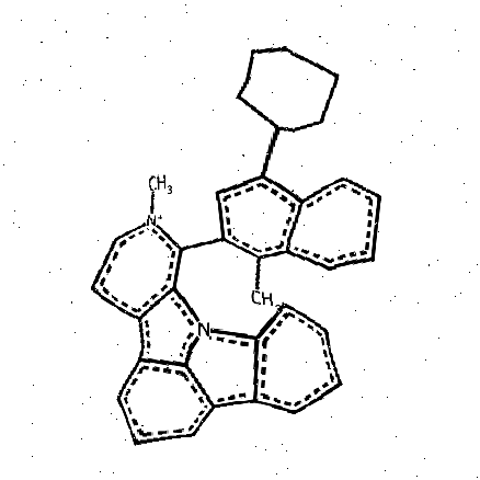 Cc1c(-c2c3c(cc[n+]2C)c2cccc4c5ccccc5n3c42)cc(C2CCCCC2)c2ccccc12